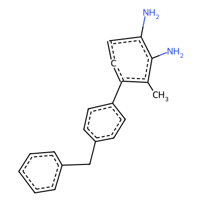 Cc1c(-c2ccc(Cc3ccccc3)cc2)ccc(N)c1N